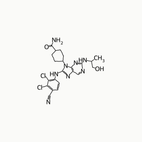 CC(CO)Nc1ncc2nc(Nc3ccc(C#N)c(Cl)c3Cl)n(C3CCC(C(N)=O)CC3)c2n1